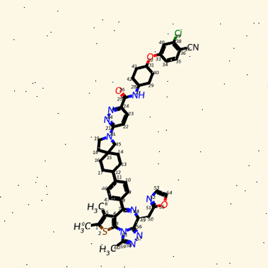 Cc1sc2c(c1C)C(c1ccc(C3CCC4(CC3)CCN(c3ccc(C(=O)NC5CCC(Oc6ccc(C#N)c(Cl)c6)CC5)nn3)C4)cc1)=N[C@@H](Cc1ncco1)c1nnc(C)n1-2